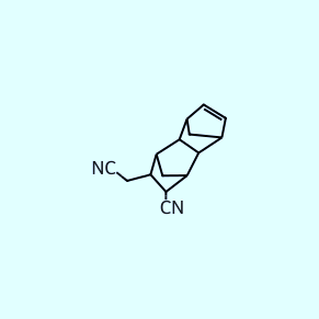 N#CCC1C(C#N)C2CC1C1C3C=CC(C3)C21